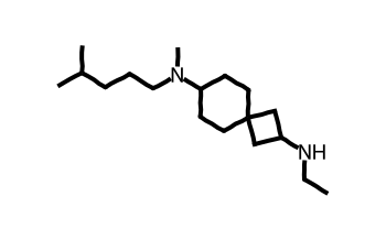 CCNC1CC2(CCC(N(C)CCCC(C)C)CC2)C1